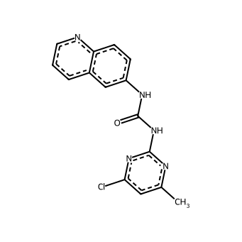 Cc1cc(Cl)nc(NC(=O)Nc2ccc3ncccc3c2)n1